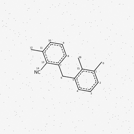 Cc1cccc(Cc2cccc(C)c2C#N)c1C